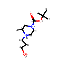 C[C@H]1CN(C(=O)OC(C)(C)C)CCN1CCCO